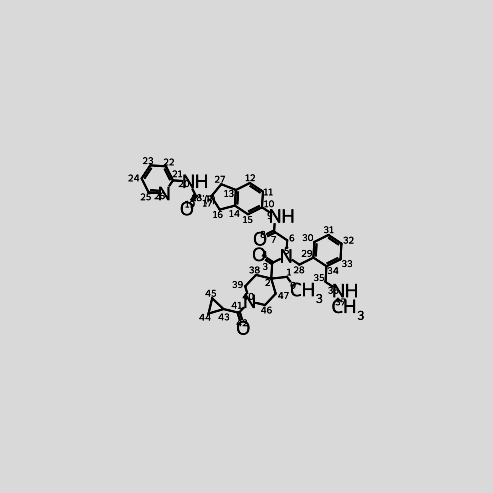 CCC1(C(=O)N(CC(=O)Nc2ccc3c(c2)C[C@H](C(=O)Nc2ccccn2)C3)Cc2ccccc2CNC)CCN(C(=O)C2CC2)CC1